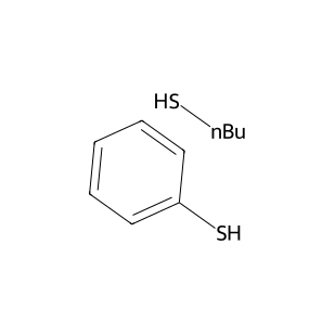 CCCCS.Sc1ccccc1